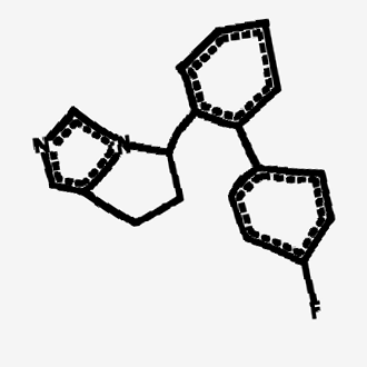 Fc1ccc(-c2ccccc2C2CCc3cncn32)cc1